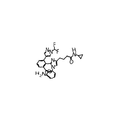 NC(=O)c1cccc(-c2cnn(C(F)F)c2)c1-c1nc(CCCC(=O)NC2CC2)cn1-c1ccccc1